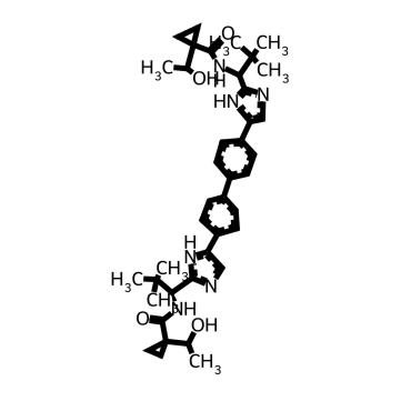 CC(O)C1(C(=O)NC(c2ncc(-c3ccc(-c4ccc(-c5cnc([C@@H](NC(=O)C6(C(C)O)CC6)C(C)(C)C)[nH]5)cc4)cc3)[nH]2)C(C)(C)C)CC1